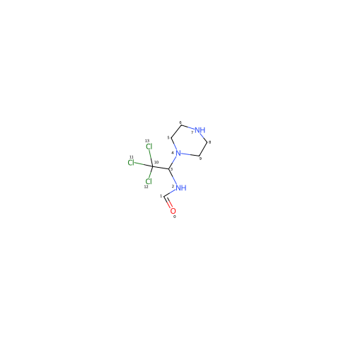 O=CNC(N1CCNCC1)C(Cl)(Cl)Cl